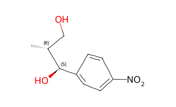 C[C@H](CO)[C@H](O)c1ccc([N+](=O)[O-])cc1